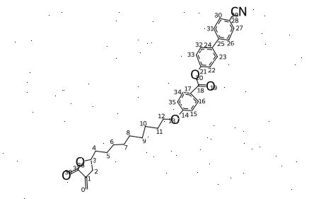 C=C1CC(CCCCCCCCCOc2ccc(C(=O)Oc3ccc(-c4ccc(C#N)cc4)cc3)cc2)OC1=O